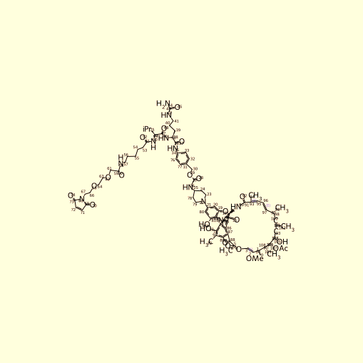 CO[C@H]1/C=C/O[C@@]2(C)Oc3c(C)c(O)c4c(=O)c(c5oc6cc(N7CCC(NC(=O)OCc8ccc(NC(=O)[C@H](CCCNC(N)=O)NC(=O)[C@@H](NC(=O)CCCCCNC(=O)COCCOCCN9C(=O)C=CC9=O)C(C)C)cc8)CC7)cc(O)c6nc-5c4c3C2=O)NC(=O)/C(C)=C\C=C\[C@H](C)C[C@@H](C)C[C@@H](O)[C@H](OC(C)=O)[C@@H]1C